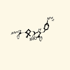 COC(=O)[C@H](Cc1ccc(N)cc1)NC(=O)C[C@H]1C[C@@H](C(=O)OC)C1(C)C